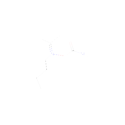 CCCC[N+](OC(N)=O)=C(C)C